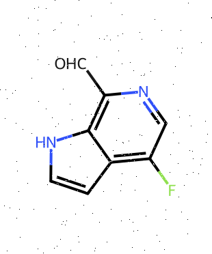 O=Cc1ncc(F)c2cc[nH]c12